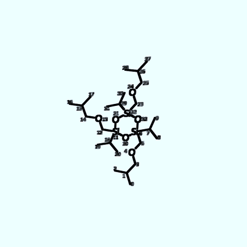 CC(C)COC[Si]1(C(C)C)O[Si](COCC(C)C)(C(C)C)O[Si](COCC(C)C)(C(C)C)O1